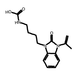 C=C(C)n1c(=O)n(CCCCNC(=O)O)c2ccccc21